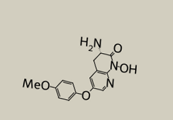 COc1ccc(Oc2cnc3c(c2)C[C@H](N)C(=O)N3O)cc1